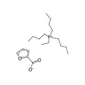 CCCC[P+](CC)(CCCC)CCCC.O=C([O-])c1ccco1